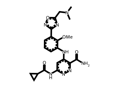 COc1c(Nc2cc(NC(=O)C3CC3)nnc2C(N)=O)cccc1-c1noc(CN(C)C)n1